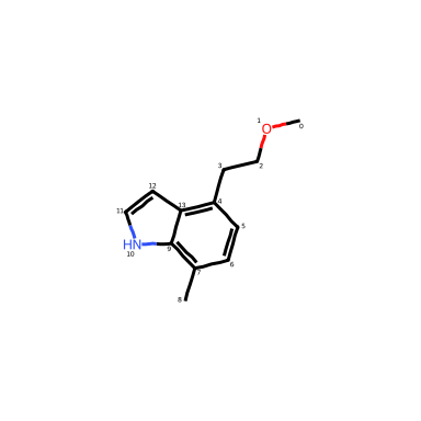 COCCc1ccc(C)c2[nH]ccc12